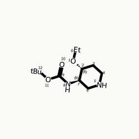 CCO[C@@H]1CCNC[C@H]1NC(=O)OC(C)(C)C